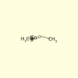 CCCCCCCCC1CCC(c2ccc(C(F)(F)C(F)(F)CCC)cc2)CC1